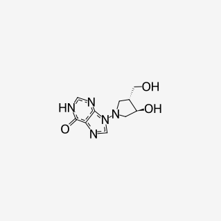 O=c1[nH]cnc2c1ncn2N1C[C@H](CO)[C@@H](O)C1